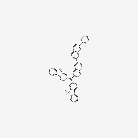 CC1(C)c2ccccc2-c2ccc(N(c3ccc4ccc(-c5ccc6ccc(-c7ccccc7)cc6c5)cc4c3)c3ccc4c(c3)oc3ccccc34)cc21